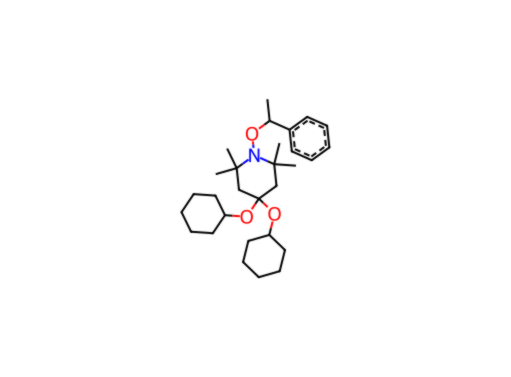 CC(ON1C(C)(C)CC(OC2CCCCC2)(OC2CCCCC2)CC1(C)C)c1ccccc1